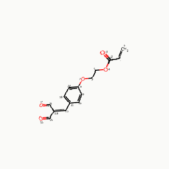 C=CC(=O)OCCOc1ccc(C=C(C=O)C=O)cc1